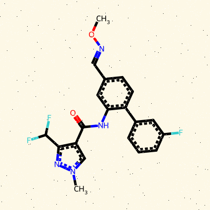 CON=Cc1ccc(-c2cccc(F)c2)c(NC(=O)c2cn(C)nc2C(F)F)c1